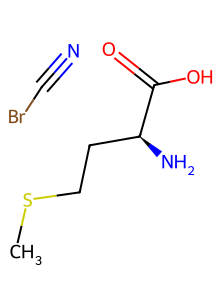 CSCC[C@H](N)C(=O)O.N#CBr